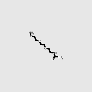 CC(=O)NCCOCCOCCON